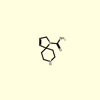 NC(=O)N1CC=CC12CCNCC2